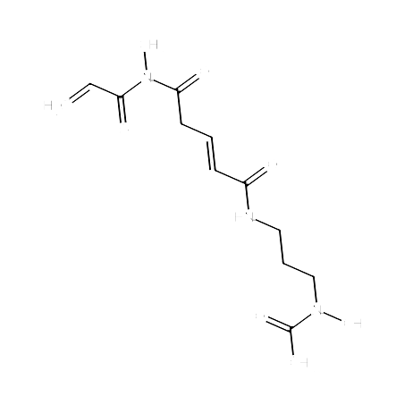 C=CC(=O)N(C)C(=O)C/C=C/C(=O)NCCCN(C)C(C)=O